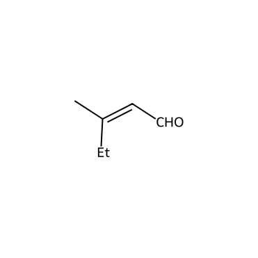 CC/C(C)=C\C=O